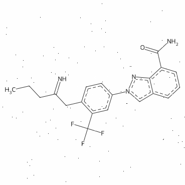 CCCC(=N)Cc1ccc(-n2cc3cccc(C(N)=O)c3n2)cc1C(F)(F)F